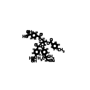 Cc1ccc(C(=O)OCC(COC(=O)c2ccc(OBO)cc2)(COC(=O)c2ccc(B(O)O)cc2)COc2ccc(C(C)(C)CC(C)(C)C)cc2)cc1